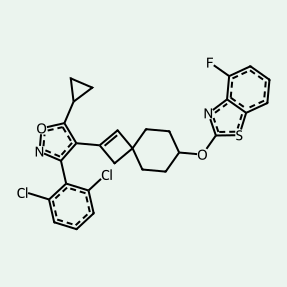 Fc1cccc2sc(OC3CCC4(C=C(c5c(-c6c(Cl)cccc6Cl)noc5C5CC5)C4)CC3)nc12